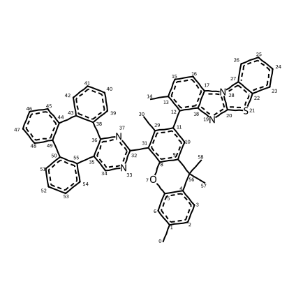 Cc1ccc2c(c1)Oc1c(cc(-c3c(C)ccc4c3nc3sc5ccccc5n34)c(C)c1-c1ncc3c(n1)-c1ccccc1-c1ccccc1-c1ccccc1-3)C2(C)C